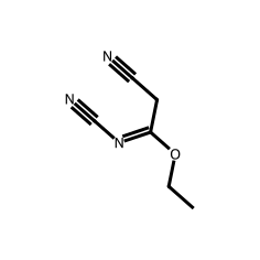 CCOC(CC#N)=NC#N